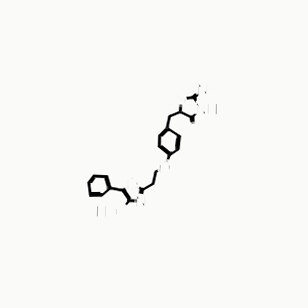 Cc1nc(CCOc2ccc(CC3SC(=N)NC3=O)cc2)oc1-c1ccccc1